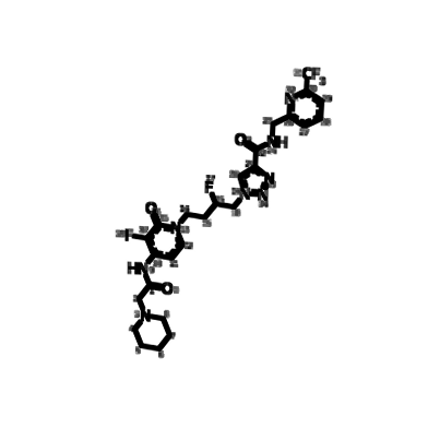 O=C(CN1CCCCC1)Nc1ccn(CCC(F)Cn2cc(C(=O)NCc3cccc(C(F)(F)F)n3)nn2)c(=O)c1F